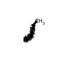 CCCCCC1CCC([C@H]2C=NC(c3ccc(C4=C[C@H](F)C(C(F)(F)O[C@H]5C=C(F)[C@@H](S(F)(F)(F)(F)F)C(F)C5)C(F)=C4)c(F)c3)=NC2)CC1